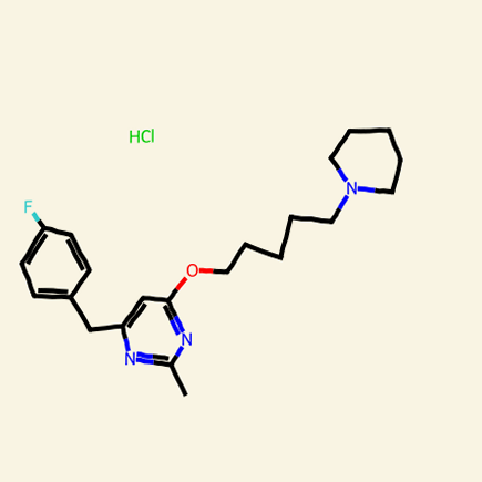 Cc1nc(Cc2ccc(F)cc2)cc(OCCCCCN2CCCCC2)n1.Cl